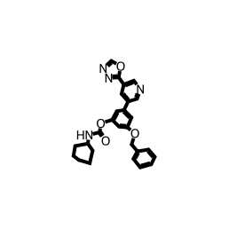 O=C(NC1CCCCC1)Oc1cc(OCc2ccccc2)cc(-c2cncc(-c3nnco3)c2)c1